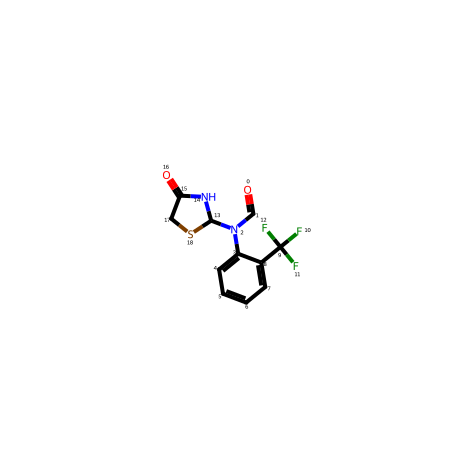 O=CN(c1ccccc1C(F)(F)F)C1NC(=O)CS1